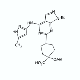 CCn1ncc2c(Nc3cc(C)[nH]n3)nc(C3CCC(OC)(C(=O)O)CC3)nc21